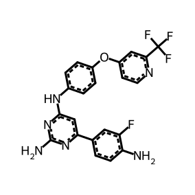 Nc1nc(Nc2ccc(Oc3ccnc(C(F)(F)F)c3)cc2)cc(-c2ccc(N)c(F)c2)n1